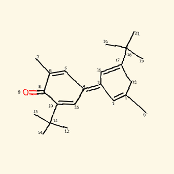 CC1=CC(=C2C=C(C)C(=O)C(C(C)(C)C)=C2)C=C(C(C)(C)C)C1